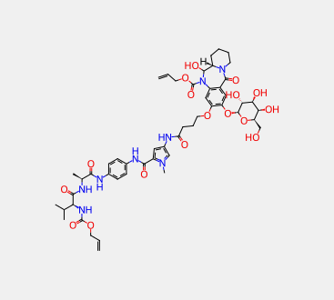 C=CCOC(=O)N[C@H](C(=O)N[C@@H](C)C(=O)Nc1ccc(NC(=O)c2cc(NC(=O)CCCOc3cc4c(cc3O[C@@H]3O[C@H](CO)[C@H](O)[C@H](O)[C@H]3O)C(=O)N3CCCC[C@H]3C(O)N4C(=O)OCC=C)cn2C)cc1)C(C)C